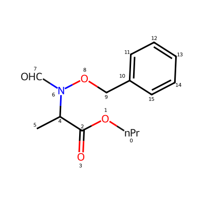 [CH2]CCOC(=O)C(C)N(C=O)OCc1ccccc1